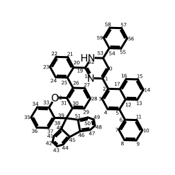 C1=C(c2ccc(-c3ccccc3)c3ccccc23)N=C(c2ccccc2-c2cccc3c2Oc2ccccc2C32c3ccccc3-c3ccccc32)NC1c1ccccc1